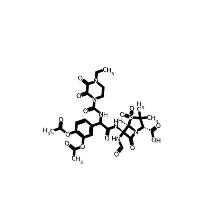 CCN1CCN(C(=O)NC(C(=O)N[C@]2(NC=O)C(=O)N3[C@@H](C(=O)O)C(C)(C)S(=O)(=O)[C@@H]32)c2ccc(OC(C)=O)c(OC(C)=O)c2)C(=O)C1=O